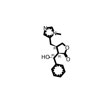 Cn1cncc1C[C@H]1COC(=O)[C@H]1[C@@H](O)c1ccccc1